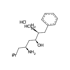 CC(C)C[C@H](N)C[C@H](O)[C@@H](N)Cc1ccccc1.Cl.Cl